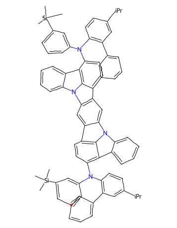 CC(C)c1ccc(N(c2cccc([Si](C)(C)C)c2)c2ccc3c4cc5c(cc4n4c6ccccc6c2c34)c2ccc(N(c3cccc([Si](C)(C)C)c3)c3ccc(C(C)C)cc3-c3ccccc3)c3c4ccccc4n5c23)c(-c2ccccc2)c1